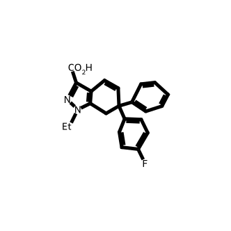 CCn1nc(C(=O)O)c2c1CC(c1ccccc1)(c1ccc(F)cc1)C=C2